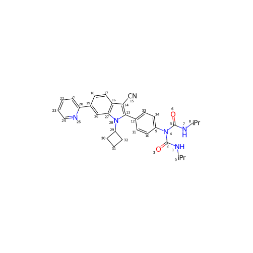 CC(C)NC(=O)N(C(=O)NC(C)C)c1ccc(-c2c(C#N)c3ccc(-c4ccccn4)cc3n2C2CCC2)cc1